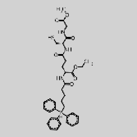 CCOC(=O)[C@H](CCC(=O)N[C@@H](CS)C(=O)NCC(=O)OC)NC(=O)CCCC[PH](c1ccccc1)(c1ccccc1)c1ccccc1